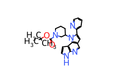 CC(C)(C)OC(=O)N1CCCC(n2c(-c3ccccn3)cc3cnc4[nH]ccc4c32)C1